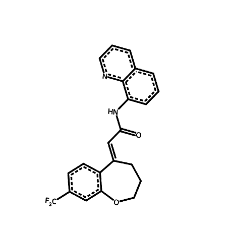 O=C(C=C1CCCOc2cc(C(F)(F)F)ccc21)Nc1cccc2cccnc12